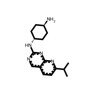 CC(C)c1ccc2cnc(N[C@H]3CC[C@H](N)CC3)nc2n1